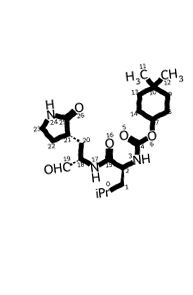 CC(C)C[C@H](NC(=O)OC1CCC(C)(C)CC1)C(=O)N[C@H](C=O)C[C@@H]1CCNC1=O